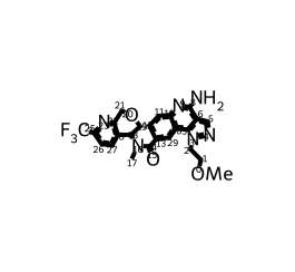 COCCn1ncc2c(N)nc3ccc(C(=O)N(C)C4COCc5nc(C(F)(F)F)ccc54)cc3c21